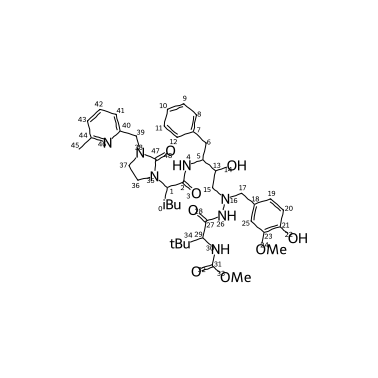 CCC(C)C(C(=O)NC(Cc1ccccc1)C(O)CN(Cc1ccc(O)c(OC)c1)NC(=O)C(NC(=O)OC)C(C)(C)C)N1CCN(Cc2cccc(C)n2)C1=O